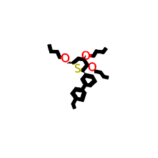 CCCCOC[C@@H]1C[C@H](OCCCC)[C@@H](OCCCC)[C@H](c2cccc(-c3ccc(CC)cc3)c2)S1